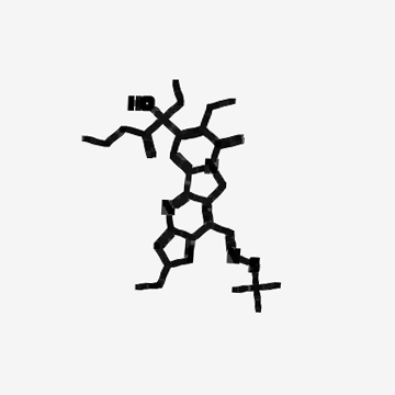 C=C1C(CC)=C(C(O)(CC)C(=C)CCC)C=C2c3nc4c(c(C=NSC(C)(C)C)c3CN12)=CC(CC)C=4